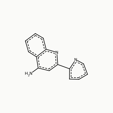 Nc1cc(-c2ccccn2)nc2ccccc12